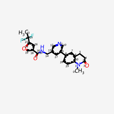 CN1C(=O)CCc2cc(-c3cncc(CNC(=O)c4coc(C(C)(F)F)c4)c3)ccc21